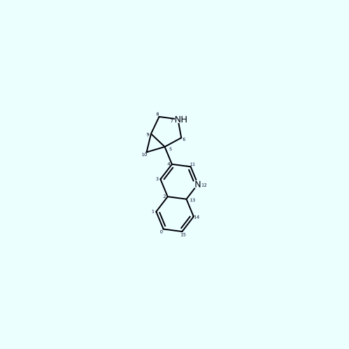 C1=CC2C=C(C34CNCC3C4)C=NC2C=C1